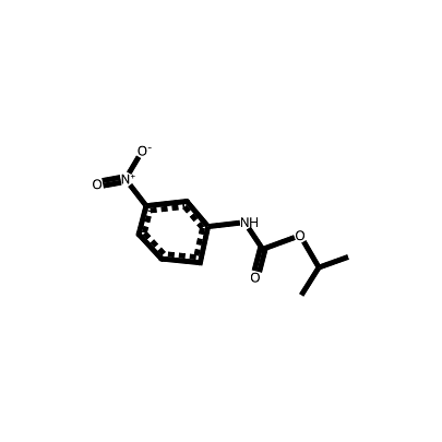 CC(C)OC(=O)Nc1cccc([N+](=O)[O-])c1